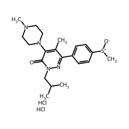 Cc1c(-c2ccc([S+](C)[O-])cc2)nn(CC(C)C)c(=O)c1N1CCN(C)CC1.Cl.Cl